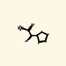 NC(=O)C(=O)C1CCCC1